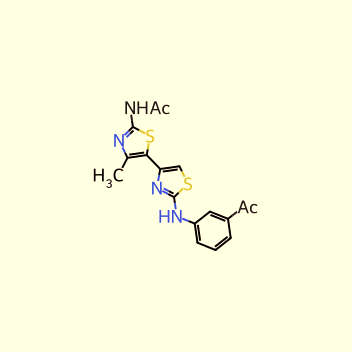 CC(=O)Nc1nc(C)c(-c2csc(Nc3cccc(C(C)=O)c3)n2)s1